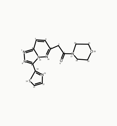 O=C(Cc1ccc2nnc(-c3nccs3)n2n1)N1CCOCC1